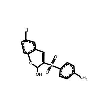 Cc1ccc(S(=O)(=O)C2=Cc3cc(Cl)ccc3OC2O)cc1